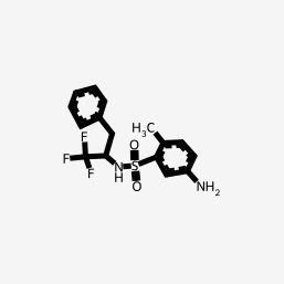 Cc1ccc(N)cc1S(=O)(=O)NC(Cc1ccccc1)C(F)(F)F